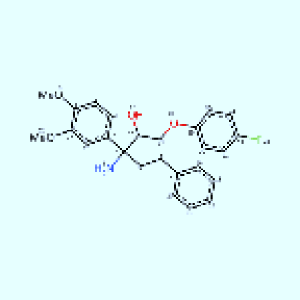 COc1ccc(C(N)(CCc2ccccc2)C(O)COc2ccc(F)cc2)cc1OC